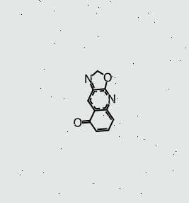 O=C1C=CC=c2nc3c(cc21)=NCO3